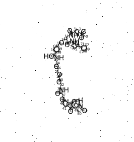 CS(=O)(=O)n1ccc(C(=O)NCC(COCc2ccc(C(O)NCCOCCOCCOCCNC(=O)COc3ccc4c(c3)C(=O)N(C3CCC(=O)NC3=O)C4=O)cc2)C(=O)Nc2nc(-c3ccccc3)cs2)c1